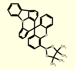 CC1(C)OB(c2cccc3c2Oc2ccccc2C32c3ccccc3-n3c4ccccc4c4cccc2c43)OC1(C)C